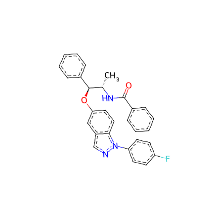 C[C@H](NC(=O)c1ccccc1)[C@@H](Oc1ccc2c(cnn2-c2ccc(F)cc2)c1)c1ccccc1